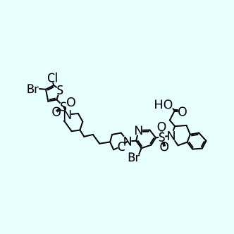 O=C(O)CC1Cc2ccccc2CN1S(=O)(=O)c1cnc(N2CCC(CCCC3CCN(S(=O)(=O)c4cc(Br)c(Cl)s4)CC3)CC2)c(Br)c1